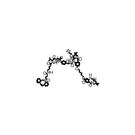 COc1cc2c(cc1OCCCCCOc1ccc3c(c1)N(C(=O)OCc1ccc(NC(=O)[C@H](C)NC(=O)[C@@H](NC(=O)CCCCNC(=O)CCC(=O)N4Cc5ccccc5C#Cc5ccccc54)C(C)C)cc1)C(O)[C@@H]1C(OCC[Si](C)(C)C)C4(CC4)CN1C3=O)NC[C@@H]1CC3(CC3)CN1C2=O